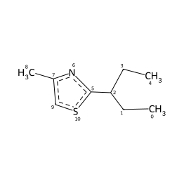 CCC(CC)c1nc(C)cs1